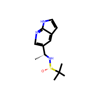 C[C@@H](N[S@@+]([O-])C(C)(C)C)c1cnc2[nH]ccc2c1